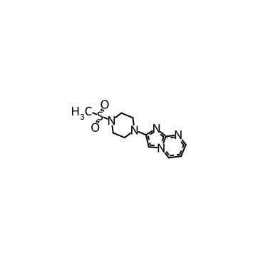 CS(=O)(=O)N1CCN(c2cn3cccnc3n2)CC1